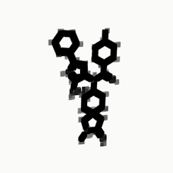 CC1CCC(C(=O)N(c2cc(C3=CCCCC3)sc2C(=O)O)C2CCC3(CC2)CC(=O)N(C)C3)CC1